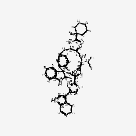 Cc1ccc2cc1C1(c3ccccc3NC1C)c1oc(nc1-c1ncc(-c3c[nH]c4c3CCC=C4)o1)[C@H](C(C)C)NC(=O)[C@@H](NC(=O)C1(C)CCCCC1)C2